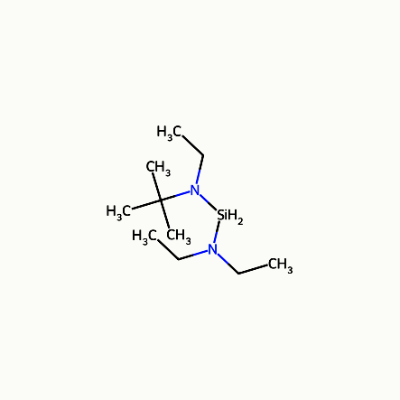 CCN(CC)[SiH2]N(CC)C(C)(C)C